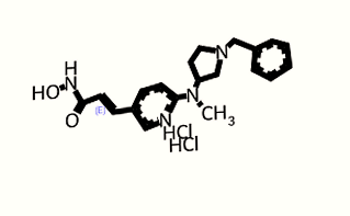 CN(c1ccc(/C=C/C(=O)NO)cn1)C1CCN(Cc2ccccc2)C1.Cl.Cl